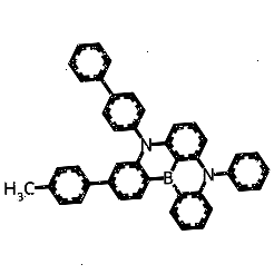 Cc1ccc(-c2ccc3c(c2)N(c2ccc(-c4ccccc4)cc2)c2cccc4c2B3c2ccccc2N4c2ccccc2)cc1